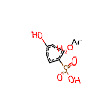 O.O=S(=O)(O)c1ccc(O)cc1.[Ar]